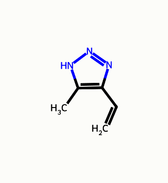 C=Cc1nn[nH]c1C